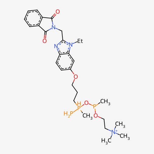 CCn1c(CN2C(=O)c3ccccc3C2=O)nc2ccc(OCCC[PH](C)(P)OP(C)OCC[N+](C)(C)C)cc21